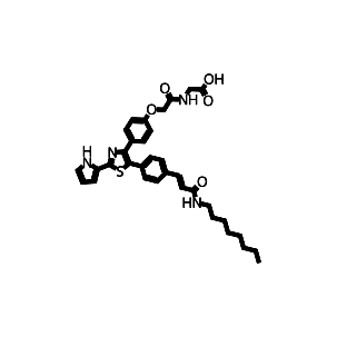 CCCCCCCCNC(=O)C=Cc1ccc(-c2sc(-c3ccc[nH]3)nc2-c2ccc(OCC(=O)NCC(=O)O)cc2)cc1